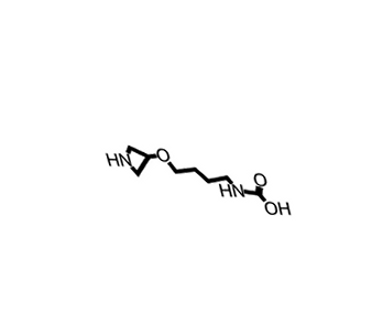 O=C(O)NCCCCOC1CNC1